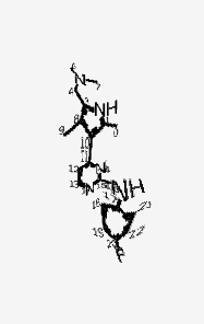 Cc1[nH]c(CN(C)C)c(C)c1-c1ccnc(Nc2ccc(F)cc2)n1